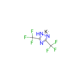 FC(F)(F)c1n[nH]c(C(F)(F)F)n1.[K]